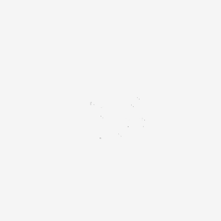 C[C@@H]1CCN(C(=O)Nc2ccccc2F)CC1N(C)c1ccnc2c1ccn2N